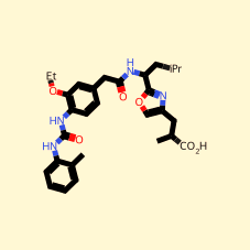 CCOc1cc(CC(=O)NC(CC(C)C)c2nc(CC(C)C(=O)O)co2)ccc1NC(=O)Nc1ccccc1C